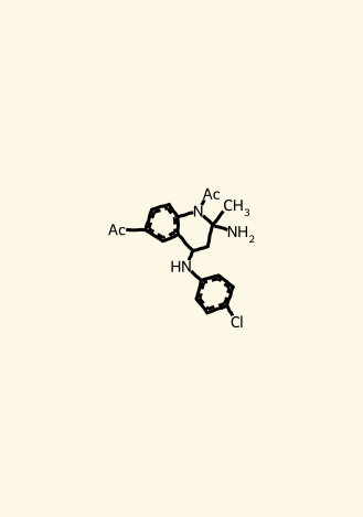 CC(=O)c1ccc2c(c1)C(Nc1ccc(Cl)cc1)CC(C)(N)N2C(C)=O